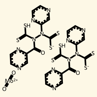 O=C(c1cnccn1)N(C(=S)S)N(C(=S)[S-])c1cnccn1.O=C(c1cnccn1)N(C(=S)S)N(C(=S)[S-])c1cnccn1.[O]=[Mo+2]=[O]